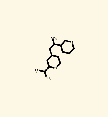 CC(C)C1CC(CC(C)C2CCCOC2)CCO1